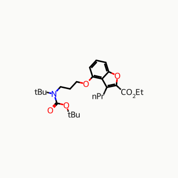 CCCc1c(C(=O)OCC)oc2cccc(OCCCN(C(=O)OC(C)(C)C)C(C)(C)C)c12